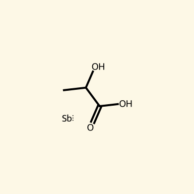 CC(O)C(=O)O.[Sb]